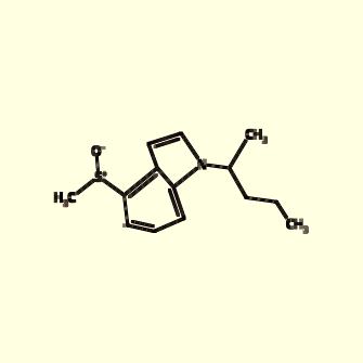 CCCC(C)n1ccc2c([S+](C)[O-])[c]ccc21